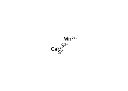 [Ca+2].[Mn+2].[S-2].[S-2]